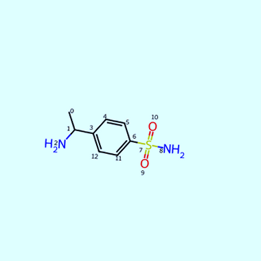 CC(N)c1ccc(S(N)(=O)=O)cc1